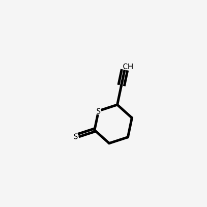 C#CC1CCCC(=S)S1